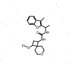 CCOC1CC(NC(=O)NC(C)c2oc3ccccc3c2C)C12CCOCC2